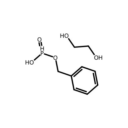 O=[PH](O)OCc1ccccc1.OCCO